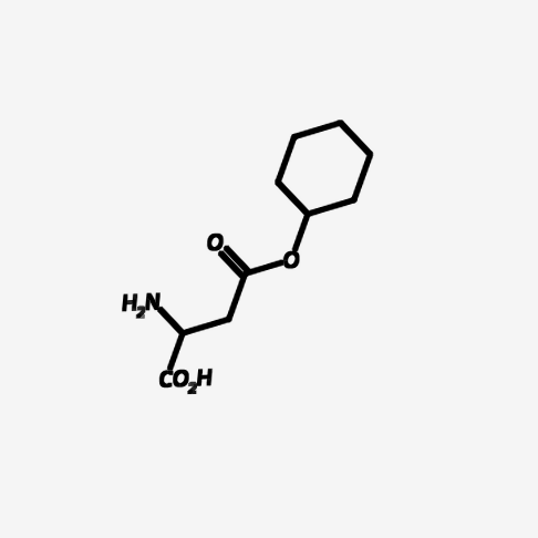 NC(CC(=O)OC1CCCCC1)C(=O)O